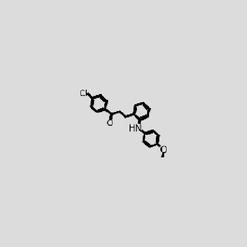 COc1ccc(Nc2ccccc2CCC(=O)c2ccc(Cl)cc2)cc1